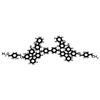 C=Cc1ccc(COc2ccc(C3(c4ccc(F)cc4)c4ccccc4-c4ccc(N(c5ccc(-c6ccc(N(c7ccc8c(c7)C(c7ccc(F)cc7)(c7ccc(OCc9ccc(C=C)cc9)cc7)c7ccccc7-8)c7ccc8oc9ccccc9c8c7)cc6)cc5)c5ccc6oc7ccccc7c6c5)cc43)cc2)cc1